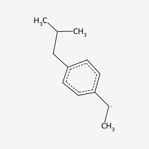 C[CH]c1ccc(CC(C)C)cc1